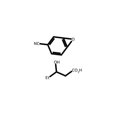 CCC(O)CC(=O)O.N#Cc1ccc2c(c1)O2